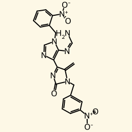 C=C1C(c2ncn(Cc3ccccc3[N+](=O)[O-])c2/N=C\N)=NC(=O)N1Cc1cccc([N+](=O)[O-])c1